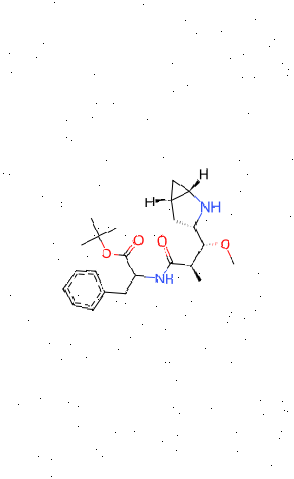 CO[C@@H]([C@@H]1C[C@@H]2C[C@@H]2N1)[C@@H](C)C(=O)NC(Cc1ccccc1)C(=O)OC(C)(C)C